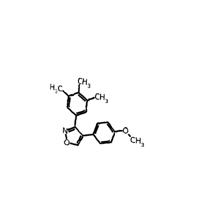 COc1ccc(-c2conc2-c2cc(C)c(C)c(C)c2)cc1